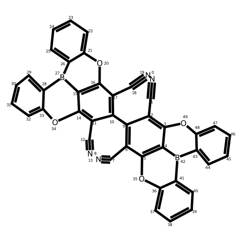 N#Cc1c2c3c(c(C#N)c1-c1c(C#N)c4c5c(c1C#N)Oc1ccccc1B5c1ccccc1O4)Oc1ccccc1B3c1ccccc1O2